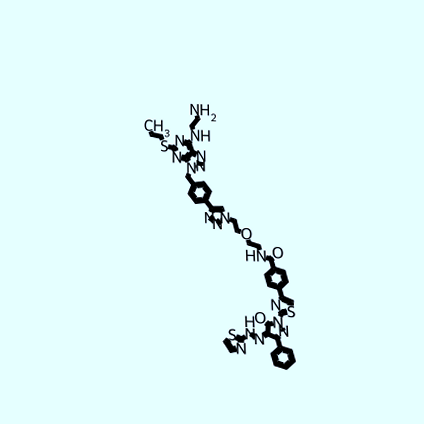 CCCSc1nc(NCCN)c2nnn(Cc3ccc(-c4cn(CCOCCNC(=O)c5ccc(-c6csc(N7N=C(c8ccccc8)C(=NNc8nccs8)C7=O)n6)cc5)nn4)cc3)c2n1